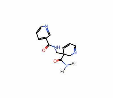 CCN(CC)C(=O)C1(CNC(=O)c2cccnc2)C=CC=NC1